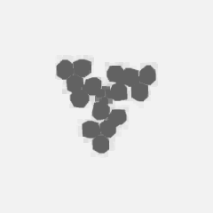 c1ccc(N(c2ccccc2)c2ccc3c4ccccc4n(-c4cccc(-c5nc(-c6cccc(-n7c8ccccc8c8ccc(N(c9ccccc9)c9ccccc9)cc87)c6)nc(-c6cccc(-n7c8ccccc8c8ccc(N(c9ccccc9)c9ccccc9)cc87)c6)n5)c4)c3c2)cc1